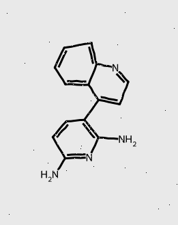 Nc1ccc(-c2ccnc3ccccc23)c(N)n1